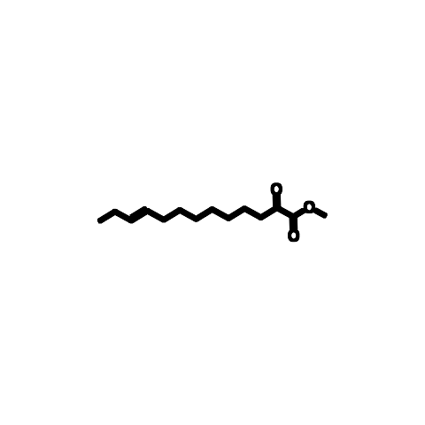 CCC=CCCCCCCCC(=O)C(=O)OC